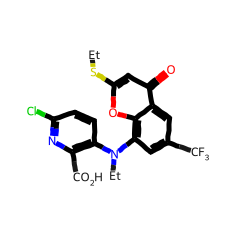 CCSc1cc(=O)c2cc(C(F)(F)F)cc(N(CC)c3ccc(Cl)nc3C(=O)O)c2o1